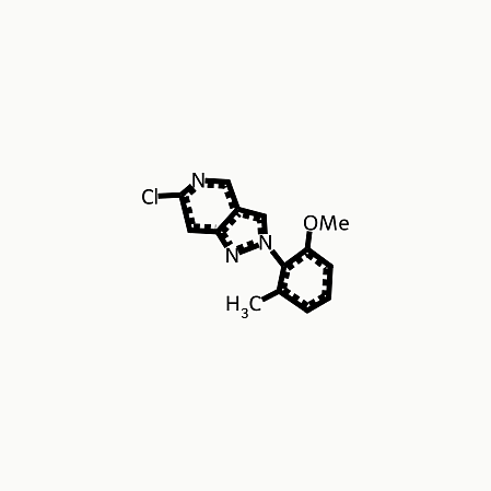 COc1cccc(C)c1-n1cc2cnc(Cl)cc2n1